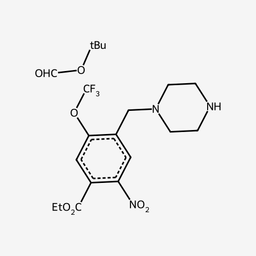 CC(C)(C)OC=O.CCOC(=O)c1cc(OC(F)(F)F)c(CN2CCNCC2)cc1[N+](=O)[O-]